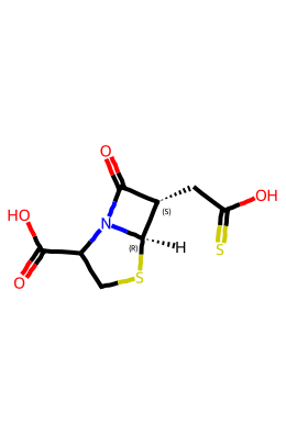 O=C(O)C1CS[C@@H]2[C@@H](CC(O)=S)C(=O)N12